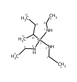 CCN[Si](NCC)(NCC)C(C)CC